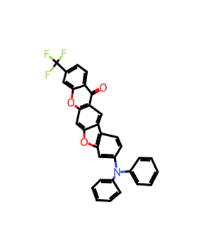 O=c1c2ccc(C(F)(F)F)cc2oc2cc3oc4cc(N(c5ccccc5)c5ccccc5)ccc4c3cc12